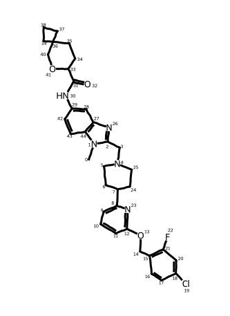 Cn1c(CN2CCC(c3cccc(OCc4ccc(Cl)cc4F)n3)CC2)nc2cc(NC(=O)C3CCC4(CCC4)CO3)ccc21